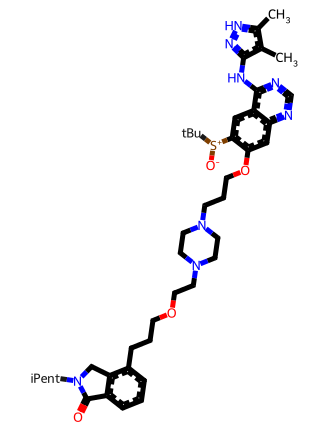 CCCC(C)N1Cc2c(CCCOCCN3CCN(CCCOc4cc5ncnc(Nc6n[nH]c(C)c6C)c5cc4[S+]([O-])C(C)(C)C)CC3)cccc2C1=O